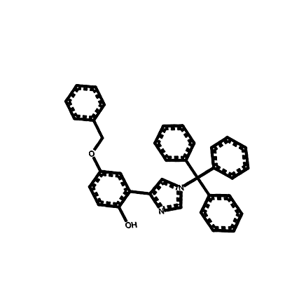 Oc1ccc(OCc2ccccc2)cc1-c1cn(C(c2ccccc2)(c2ccccc2)c2ccccc2)cn1